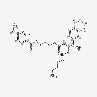 CCCCCNC[C@@H](NC(=O)CCCCCC(=O)c1ccc(OC)cc1)[C@@H](O)c1ccc2c(c1)OCCO2